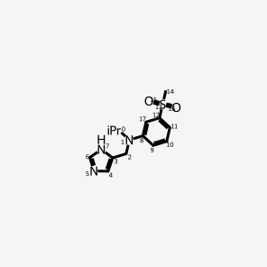 CC(C)N(Cc1cnc[nH]1)c1cccc(S(C)(=O)=O)c1